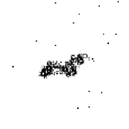 COc1cc2c(cc1OCCCOc1cc3c(cc1OC)C(=O)N1CCC[C@H]1[C@H](O)N3C(=O)OC[C@@H](C)SSc1ncccc1[N+](=O)[O-])N=C[C@@H]1CCCN1C2=O